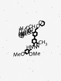 CC(=O)[O-].CC(=O)[O-].COc1ccc(CNc2nnc(C)c3cc(-c4ccc(CCOC5CCCCO5)c(B5OC(C)(C)C(C)(C)O5)c4)ccc23)c(OC)c1.[Pd+2]